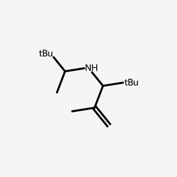 C=C(C)C(NC(C)C(C)(C)C)C(C)(C)C